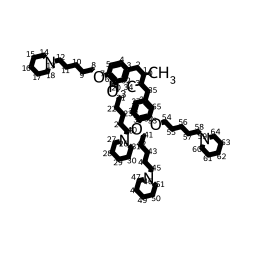 C[C@H](Cc1ccc(OCCCCCN2CCCCC2)c(OCCCCCN2CCCCC2)c1)[C@@H](C)Cc1ccc(OCCCCCN2CCCCC2)c(OCCCCCN2CCCCC2)c1